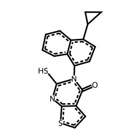 O=c1c2ccsc2nc(S)n1-c1ccc(C2CC2)c2ccccc12